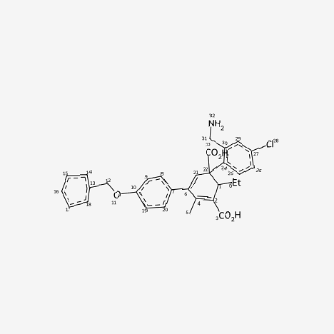 CCC1C(C(=O)O)=C(C)C(c2ccc(OCc3ccccc3)cc2)=CC1(C(=O)O)c1ccc(Cl)cc1CN